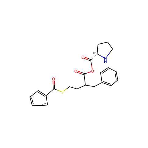 O=C(SCCC(Cc1ccccc1)C(=O)OC(=O)[C@@H]1CCCN1)c1ccccc1